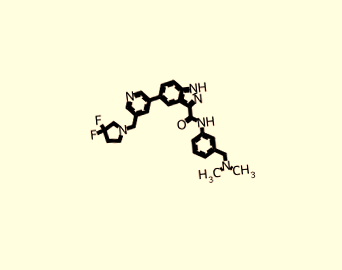 CN(C)Cc1cccc(NC(=O)c2n[nH]c3ccc(-c4cncc(CN5CCC(F)(F)C5)c4)cc23)c1